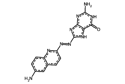 Nc1ccc2nc(N=Nc3nc4nc(N)[nH]c(=O)c4[nH]3)ccc2c1